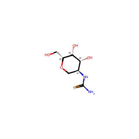 NC(=S)N[C@H]1CO[C@H](CO)[C@H](O)[C@@H]1O